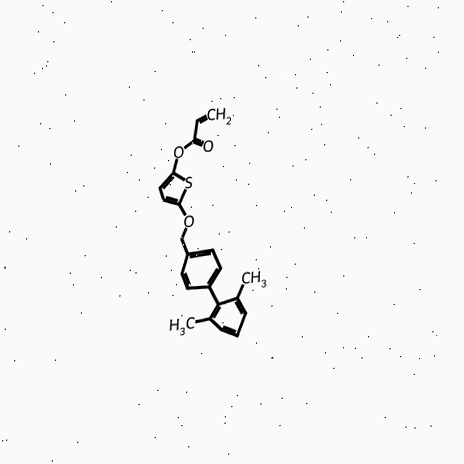 C=CC(=O)Oc1ccc(OCc2ccc(-c3c(C)cccc3C)cc2)s1